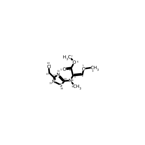 COC=C(C(=O)OC)N(C)c1nc(CCl)ns1